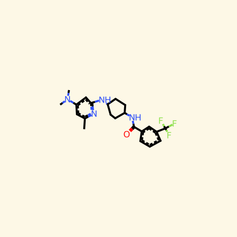 Cc1cc(N(C)C)cc(NC2CCC(NC(=O)c3cccc(C(F)(F)F)c3)CC2)n1